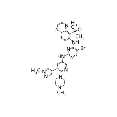 CN1CCN(c2ncc(Nc3ncc(Br)c(Nc4ccc5nccnc5c4P(C)(C)=O)n3)cc2-c2cnn(C)c2)CC1